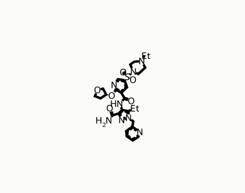 CCc1c(NC(=O)c2cc(S(=O)(=O)N3CCN(CC)CC3)cnc2O[C@@H]2CCOC2)c(C(N)=O)nn1Cc1ccccn1